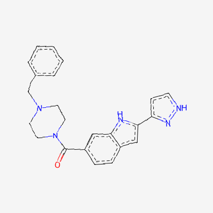 O=C(c1ccc2cc(-c3cc[nH]n3)[nH]c2c1)N1CCN(Cc2ccccc2)CC1